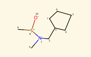 CN(CC1CCCC1)[S+](C)[O-]